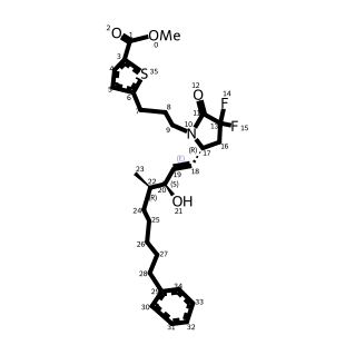 COC(=O)c1ccc(CCCN2C(=O)C(F)(F)C[C@@H]2/C=C/[C@@H](O)[C@H](C)CCCCCc2ccccc2)s1